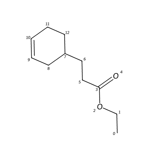 CCOC(=O)CCC1CC=CCC1